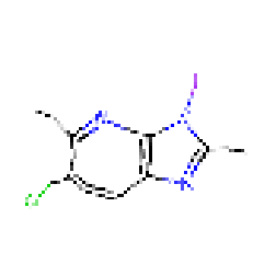 Cc1nc2c(cc1Cl)nc(C)n2I